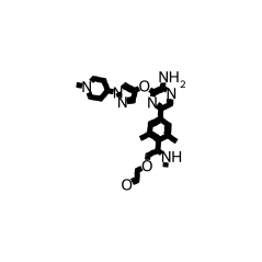 CNC(COCC=O)c1c(C)cc(-c2cnc(N)c(Oc3cnn(C4CCN(C)CC4)c3)n2)cc1C